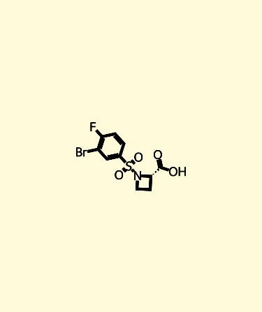 O=C(O)[C@@H]1CCN1S(=O)(=O)c1ccc(F)c(Br)c1